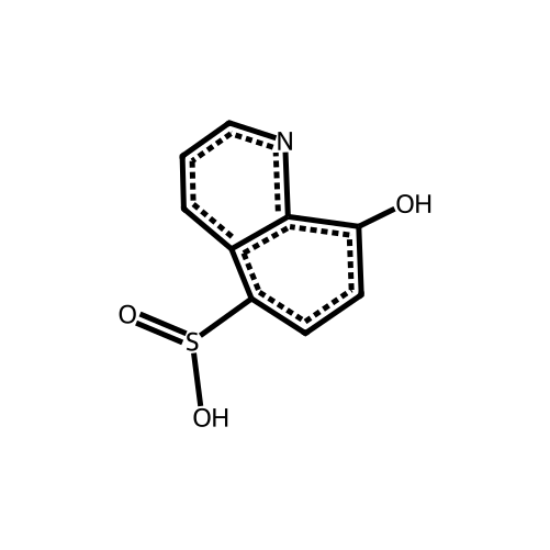 O=S(O)c1ccc(O)c2ncccc12